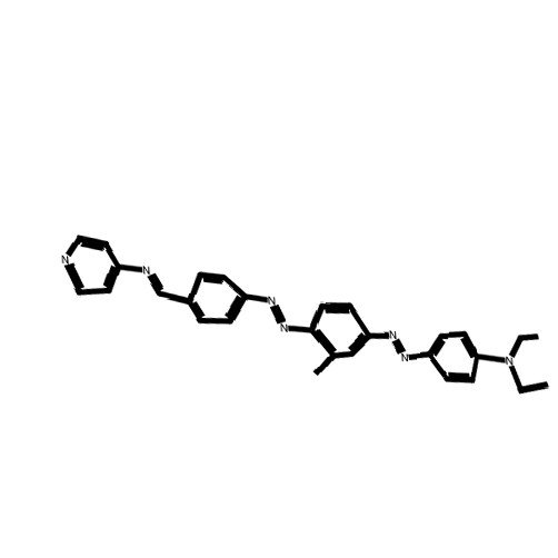 CCN(CC)c1ccc(N=Nc2ccc(N=Nc3ccc(C=Nc4ccncc4)cc3)c(C)c2)cc1